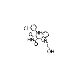 O=C1NC(=O)C(c2cn(CCCO)c3ccccc23)=C1Nc1cccc(Cl)c1